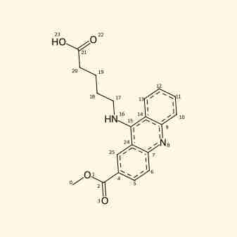 COC(=O)c1ccc2nc3ccccc3c(NCCCCC(=O)O)c2c1